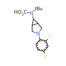 CC(C)(C)N(C(=O)O)C1C2CN(c3ccc(F)cc3F)CC21